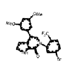 COc1cc(OC)cc(-c2cn(-c3cc(Br)ccc3C(F)(F)F)c(=O)c3[nH]ccc23)c1